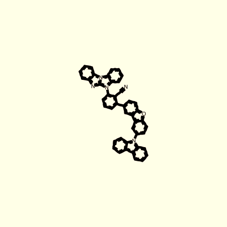 N#Cc1c(-c2ccc3oc4ccc(-n5c6ccccc6c6ccccc65)cc4c3c2)cccc1-n1c2ccccc2n2c3ccccc3nc12